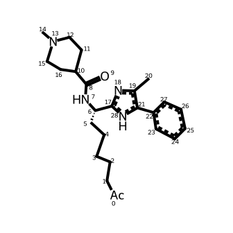 CC(=O)CCCCC[C@H](NC(=O)C1CCN(C)CC1)c1nc(C)c(-c2ccccc2)[nH]1